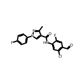 Cc1nn(-c2ccc(F)cc2)cc1C(=O)Nc1cc(Cl)c(C=O)cc1F